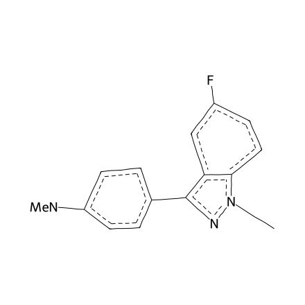 CNc1ccc(-c2nn(C)c3ccc(F)cc23)cc1